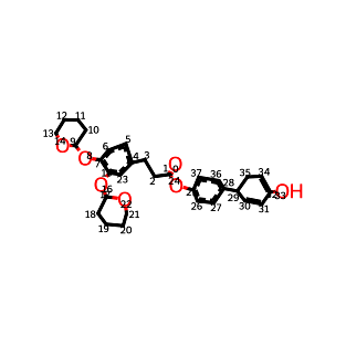 O=C(CCc1ccc(OC2CCCCO2)c(OC2CCCCO2)c1)Oc1ccc(C2C=CC(O)=CC2)cc1